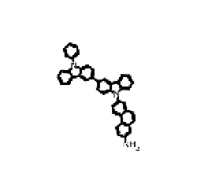 Nc1ccc2c(ccc3cc(-n4c5ccccc5c5cc(-c6ccc7c(c6)c6ccccc6n7-c6ccccc6)ccc54)ccc32)c1